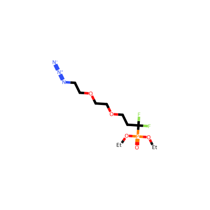 CCOP(=O)(OCC)C(F)(F)CCOCCOCCN=[N+]=[N-]